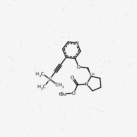 CC(C)(C)OC(=O)N1CCC[C@@H]1COc1cnccc1C#C[Si](C)(C)C